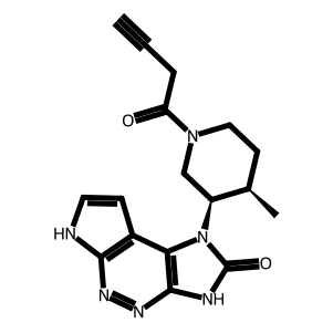 C#CCC(=O)N1CC[C@@H](C)[C@@H](n2c(=O)[nH]c3nnc4[nH]ccc4c32)C1